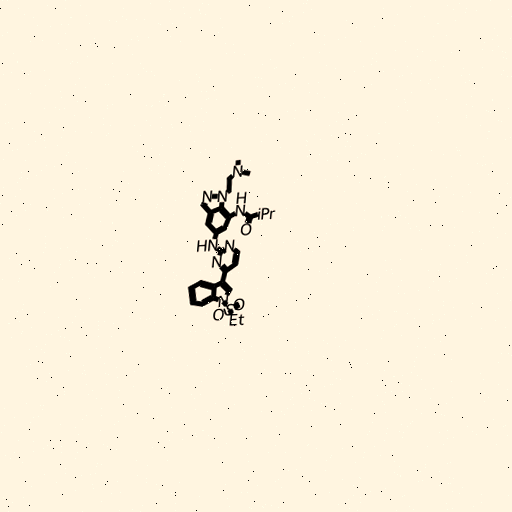 CCS(=O)(=O)n1cc(-c2ccnc(Nc3cc(NC(=O)C(C)C)c4c(cnn4CCN(C)C)c3)n2)c2ccccc21